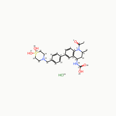 CC(=O)N1c2ccc(-c3ccc(CN4CCS(O)(O)CC4)cc3)cc2C(NC(=O)O)CC1C.Cl